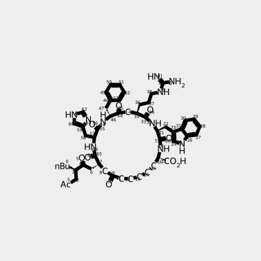 CCCC[C@H](CC(C)=O)C(=O)C[C@H]1CC(=O)CCCCC[C@@H](C(=O)O)NC(=O)[C@H](Cc2c[nH]c3ccccc23)NC(=O)[C@H](CCCNC(=N)N)CC(=O)[C@@H](Cc2ccccc2)NC(=O)C(Cc2c[nH]cn2)NC1=O